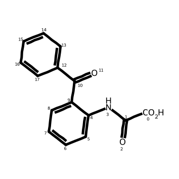 O=C(O)C(=O)Nc1ccccc1C(=O)c1ccccc1